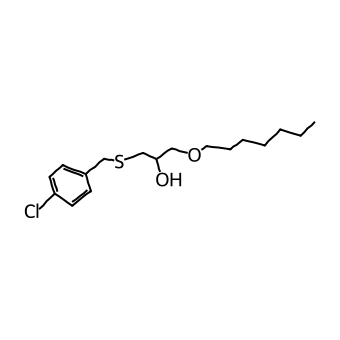 CCCCCCCOCC(O)CSCc1ccc(Cl)cc1